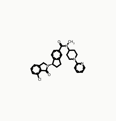 CN(C(=O)c1ccc2c(c1)CC[C@H]2N1Cc2cccc(Cl)c2C1=O)C1CCN(c2ccccn2)CC1